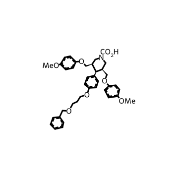 COc1ccc(OC[C@@H]2CN(C(=O)O)C[C@H](COc3ccc(OC)cc3)[C@@H]2c2ccc(OCCCOCc3ccccc3)cc2)cc1